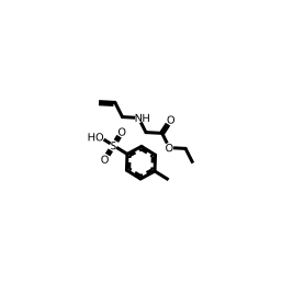 C=CCNCC(=O)OCC.Cc1ccc(S(=O)(=O)O)cc1